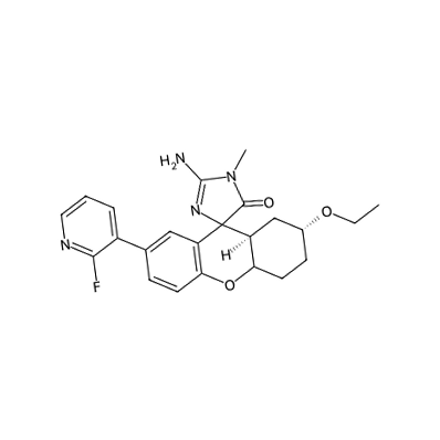 CCO[C@@H]1CCC2Oc3ccc(-c4cccnc4F)cc3C3(N=C(N)N(C)C3=O)[C@H]2C1